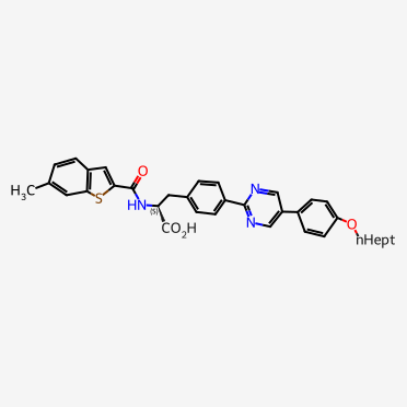 CCCCCCCOc1ccc(-c2cnc(-c3ccc(C[C@H](NC(=O)c4cc5ccc(C)cc5s4)C(=O)O)cc3)nc2)cc1